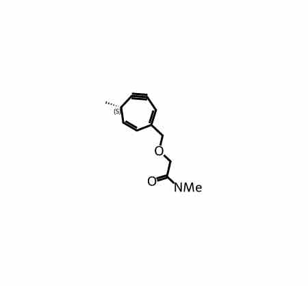 CNC(=O)COCC1=CC#C[C@@H](C)C=C1